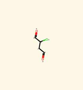 O=[C]CC(Cl)[C]=O